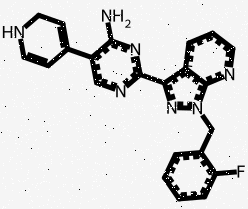 Nc1nc(-c2nn(Cc3ccccc3F)c3ncccc23)ncc1C1=CCNC=C1